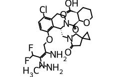 CN(N)/C(=C(\N)COc1ccc(Cl)c2c1[C@@H](CN1CC3(CC3)CC1=O)N(C(=O)[C@@H]1OCCC[C@@H]1C(=O)O)CC2)C(F)F